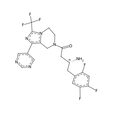 N[C@@H](CC(=O)N1CCn2c(C(F)(F)F)nc(-c3cncnc3)c2C1)Cc1cc(F)c(F)cc1F